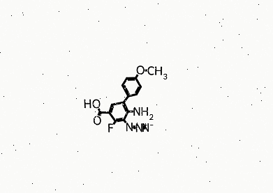 COc1ccc(-c2cc(C(=O)O)c(F)c(N=[N+]=[N-])c2N)cc1